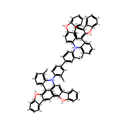 Cc1cc(-c2ccc(N(c3ccc4oc5ccccc5c4c3)c3c(C)cccc3-c3cccc4c3oc3ccccc34)c(C)c2)ccc1N(c1ccc2oc3ccccc3c2c1)c1c(C)cccc1-c1cccc2c1oc1ccccc12